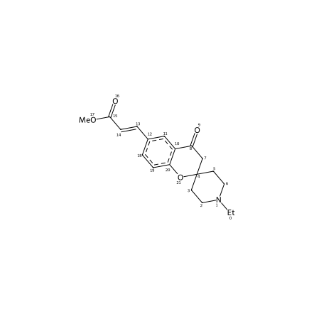 CCN1CCC2(CC1)CC(=O)c1cc(/C=C/C(=O)OC)ccc1O2